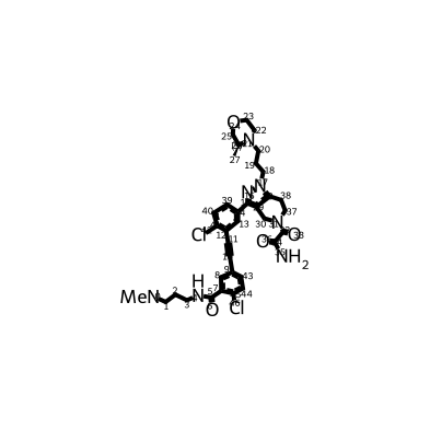 CNCCCNC(=O)c1cc(C#Cc2cc(-c3nn(CCCN4CCOC[C@@H]4C)c4c3CN(C(=O)C(N)=O)CC4)ccc2Cl)ccc1Cl